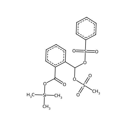 C[Si](C)(C)OC(=O)c1ccccc1C(OS(C)(=O)=O)OS(=O)(=O)c1ccccc1